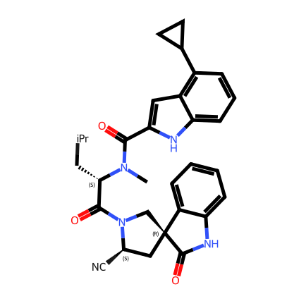 CC(C)C[C@@H](C(=O)N1C[C@]2(C[C@H]1C#N)C(=O)Nc1ccccc12)N(C)C(=O)c1cc2c(C3CC3)cccc2[nH]1